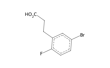 O=C(O)CCc1cc(Br)ccc1F